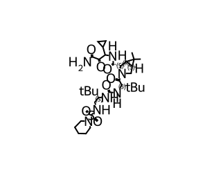 CC(C)(C)[C@H](NC(=O)N[C@H](CNS(=O)(=O)N1CCCCC1)C(C)(C)C)C(=O)N1C[C@H]2[C@@H]([C@H]1C(=O)NC(C(=O)C(N)=O)C1CC1)C2(C)C